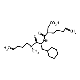 C=CCCC[C@H](CC(=O)O)C(=O)N[C@@H](CC1CCCCC1)C(=O)N(C)CCCC=C